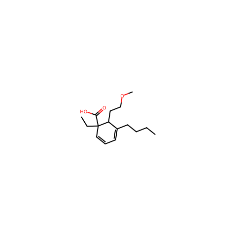 CCCCC1=CC=CC(CC)(C(=O)O)C1CCOC